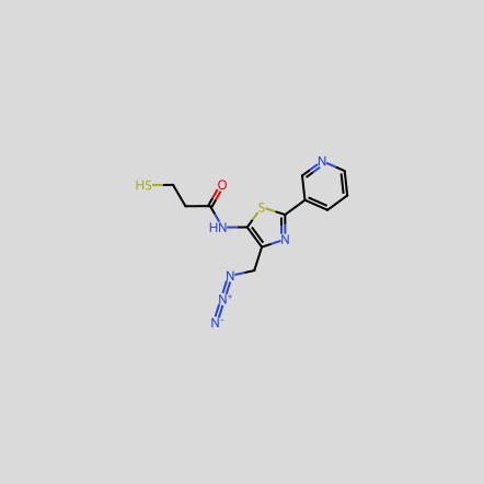 [N-]=[N+]=NCc1nc(-c2cccnc2)sc1NC(=O)CCS